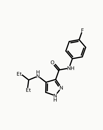 CCC(CC)Nc1c[nH]nc1C(=O)Nc1ccc(F)cc1